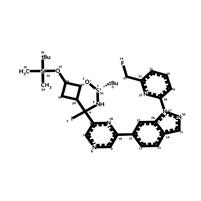 CC(C)(C)[S@@+]([O-])NC(I)(c1cncc(-c2ccc3cnn(-c4cccc(CF)n4)c3c2)n1)C1CC(O[Si](C)(C)C(C)(C)C)C1